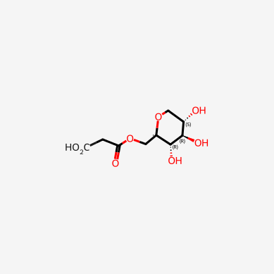 O=C(O)CC(=O)OC[C]1OC[C@H](O)[C@@H](O)[C@@H]1O